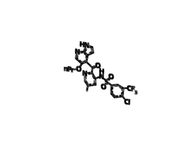 CCCOc1cnc2[nH]ccc2c1C(=O)c1ncc(C)cc1NS(=O)(=O)c1ccc(Cl)c(C(F)(F)F)c1